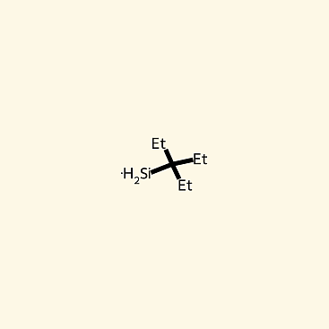 CCC([SiH2])(CC)CC